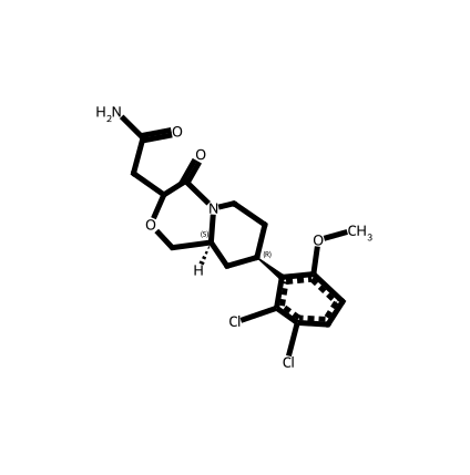 COc1ccc(Cl)c(Cl)c1[C@@H]1CCN2C(=O)C(CC(N)=O)OC[C@@H]2C1